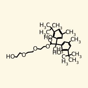 Cc1cc(C(C)(C)C)c(O)c(C(C)(C(=O)OCCOCCOCCO)c2cc(C)cc(C(C)(C)C)c2O)c1